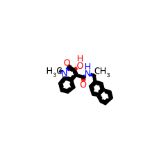 CC(NC(=O)c1c(O)c(=O)n(C)c2ccccc12)c1ccc2ccccc2c1